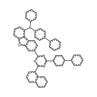 c1ccc(-c2ccc(-c3nc(-c4ccc5c(c4)oc4cccc(N(c6ccccc6)c6ccc(-c7ccccc7)cc6)c45)nc(-c4cccc5ccccc45)n3)cc2)cc1